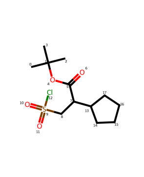 CC(C)(C)OC(=O)C(CS(=O)(=O)Cl)C1CCCC1